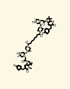 C[C@@H]1CN(CC(=O)N2CC(C)(C)c3c2cc(Cc2ccc(F)cc2)c(=O)n3C)[C@@H](CN2CCN(C(=O)CCCCCCC(=O)N3CCN(C[C@H]4CN[C@H](C)CN4CC(=O)N4CC(C)(C)c5c4cc(Cc4ccc(F)cc4)c(=O)n5C)[C@H](C)C3)C[C@H]2C)CN1